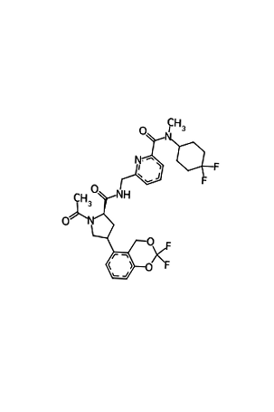 CC(=O)N1CC(c2cccc3c2COC(F)(F)O3)C[C@@H]1C(=O)NCc1cccc(C(=O)N(C)C2CCC(F)(F)CC2)n1